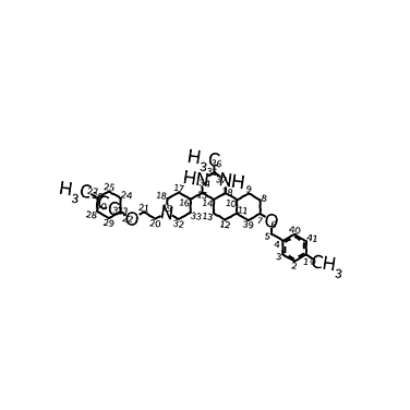 Cc1ccc(COC2CCC3C(CCC4C(C5CCN(CCOC67CCC(C)(CC6)CC7)CC5)NC(C)NC34)C2)cc1